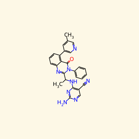 Cc1cncc(-c2cccc3nc(C(C)Nc4nc(N)ncc4C#N)n(-c4ccccc4)c(=O)c23)c1